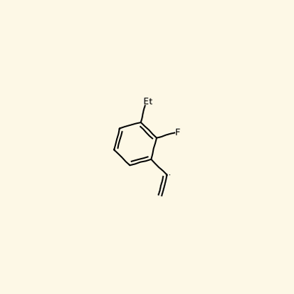 C=[C]c1cccc(CC)c1F